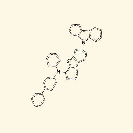 c1ccc(-c2ccc(N(c3ccccc3)c3cccc4c3sc3cc(-n5c6ccccc6c6ccccc65)ccc34)cc2)cc1